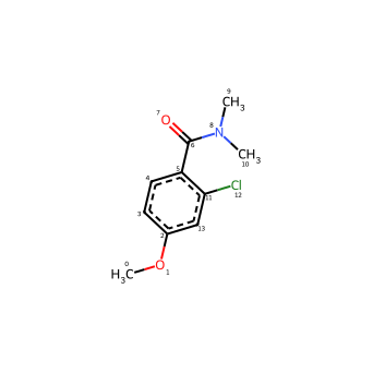 COc1ccc(C(=O)N(C)C)c(Cl)c1